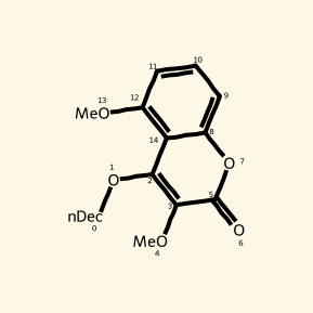 CCCCCCCCCCOc1c(OC)c(=O)oc2cccc(OC)c12